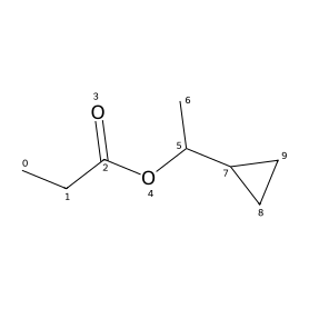 CCC(=O)OC(C)C1CC1